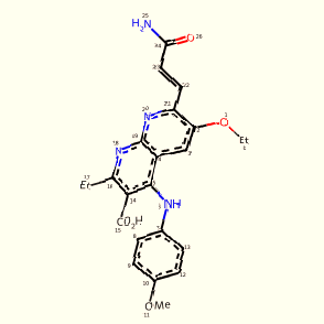 CCOc1cc2c(Nc3ccc(OC)cc3)c(C(=O)O)c(CC)nc2nc1C=CC(N)=O